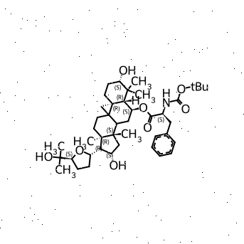 CC(C)(C)OC(=O)N[C@@H](Cc1ccccc1)C(=O)O[C@H]1CC2C3(CC[C@]4(C)[C@@H](C5CC[C@@H](C(C)(C)O)O5)[C@@H](O)C[C@@]24C)C[C@@]32CC[C@H](O)C(C)(C)[C@H]12